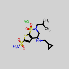 CC(C)CN1CC(NCC2CC2)c2cc(S(N)(=O)=O)sc2S1(=O)=O.Cl